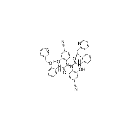 N#Cc1ccc(N(C(=O)Nc2ccccc2OCc2cccnc2)N(C(=O)Nc2ccccc2OCc2ccccn2)c2ccc(C#N)cc2O)c(O)c1